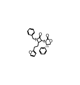 O=C1C(N2C(=O)OC[C@@H]2c2ccccc2)C(CCc2ccco2)N1Cc1ccccc1